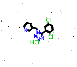 Cl.Clc1ccc(Cl)c(-c2nnnn2Cc2cccnc2)c1